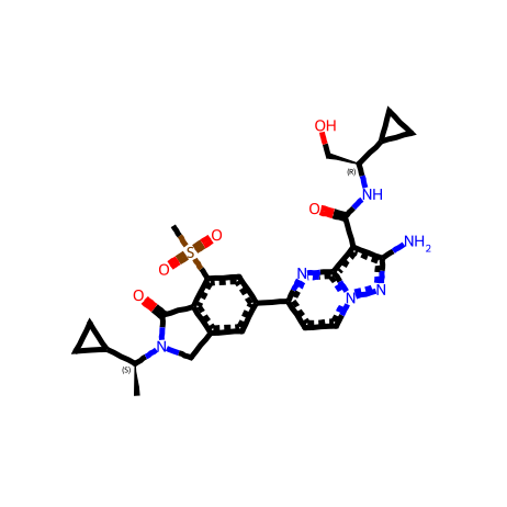 C[C@@H](C1CC1)N1Cc2cc(-c3ccn4nc(N)c(C(=O)N[C@@H](CO)C5CC5)c4n3)cc(S(C)(=O)=O)c2C1=O